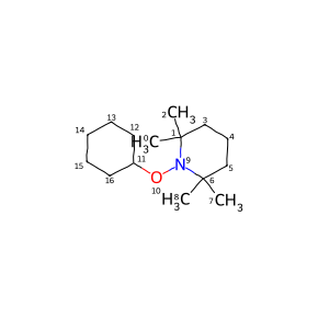 CC1(C)CCCC(C)(C)N1OC1CCCCC1